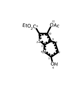 CCOC(=O)c1sc2nc(O)ccc2c1OC(C)=O